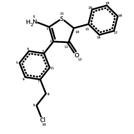 NC1=C(c2cccc(CCCl)c2)C(=O)C(c2ccccc2)S1